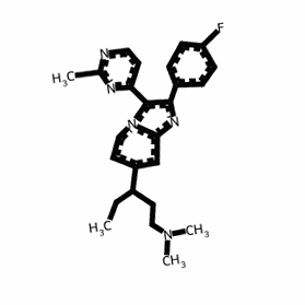 CCC(CCN(C)C)c1ccn2c(-c3ccnc(C)n3)c(-c3ccc(F)cc3)nc2c1